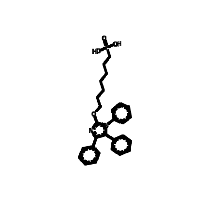 O=P(O)(O)CCCCCCCOc1nc(-c2ccccc2)c(-c2ccccc2)n1-c1ccccc1